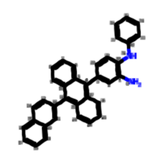 Nc1cc(-c2c3ccccc3c(-c3ccc4ccccc4c3)c3ccccc23)ccc1Nc1ccccc1